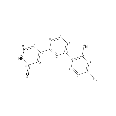 N#Cc1cc(F)ccc1-c1cccc(-c2cn[nH]c(=O)c2)c1